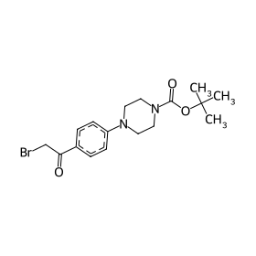 CC(C)(C)OC(=O)N1CCN(c2ccc(C(=O)CBr)cc2)CC1